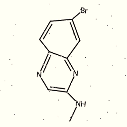 CNc1cnc2ccc(Br)cc2n1